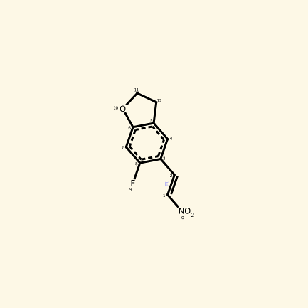 O=[N+]([O-])/C=C/c1cc2c(cc1F)OCC2